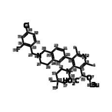 Cc1nc(C)c([C@H](OC(C)(C)C)C(=O)O)c(N2CCC(C)(C)CC2)c1-c1ccc2c(c1)CCN(Cc1ccc(Cl)cc1F)C2